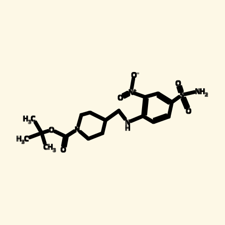 CC(C)(C)OC(=O)N1CCC(CNc2ccc(S(N)(=O)=O)cc2[N+](=O)[O-])CC1